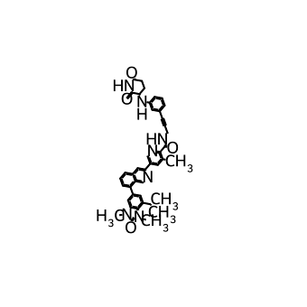 Cc1cc(-c2cc3cccc(-c4cc(C(C)C)c5c(c4)n(C)c(=O)n5C)c3cn2)cnc1C(=O)NCC#Cc1cccc(NC2CCC(=O)NC2=O)c1